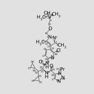 Cc1nn(COCC[Si](C)(C)C)c(C)c1-c1ccc(NC(=O)[C@@H](NC(=O)c2cnnn2C(C)C)C(C2CC2)C2CC2)nc1Cl